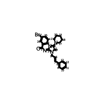 O=c1nc2n(CC=Cc3ccccc3)nc(N3CCCCC3)n2c2ccc(Br)cc12